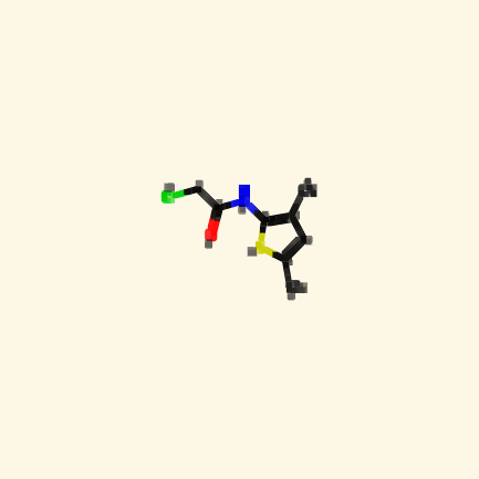 CC(C)(C)c1cc(C#N)c(NC(=O)CCl)s1